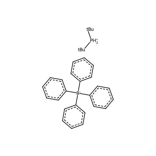 CC(C)(C)[PH2+]C(C)(C)C.c1ccc([B-](c2ccccc2)(c2ccccc2)c2ccccc2)cc1